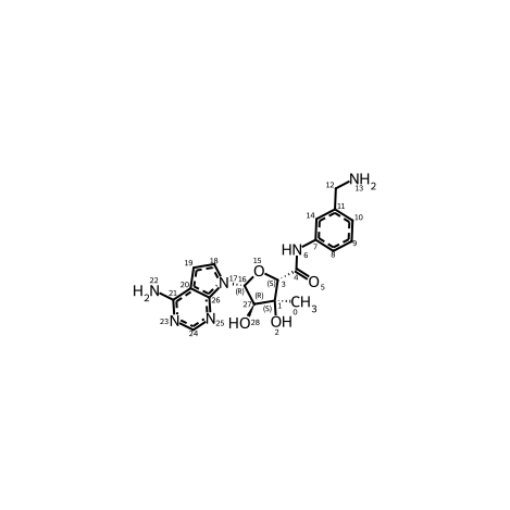 C[C@@]1(O)[C@@H](C(=O)Nc2cccc(CN)c2)O[C@@H](n2ccc3c(N)ncnc32)[C@@H]1O